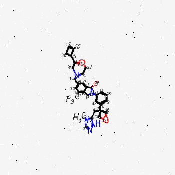 CN1C=NNC1CC1(c2cccc(N3Cc4c(cc(CN5CCOC(C6CCC6)C5)cc4C(F)(F)F)C3=O)c2)COC1